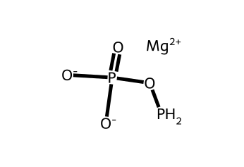 O=P([O-])([O-])OP.[Mg+2]